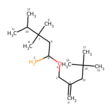 C=C(COC(P)CC(C)(C)C(C)C)CC(C)(C)C